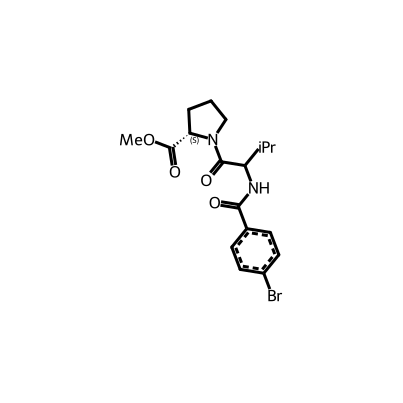 COC(=O)[C@@H]1CCCN1C(=O)C(NC(=O)c1ccc(Br)cc1)C(C)C